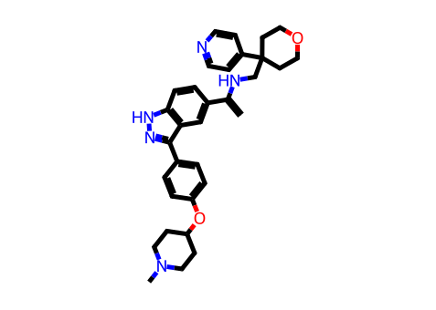 C=C(NCC1(c2ccncc2)CCOCC1)c1ccc2[nH]nc(-c3ccc(OC4CCN(C)CC4)cc3)c2c1